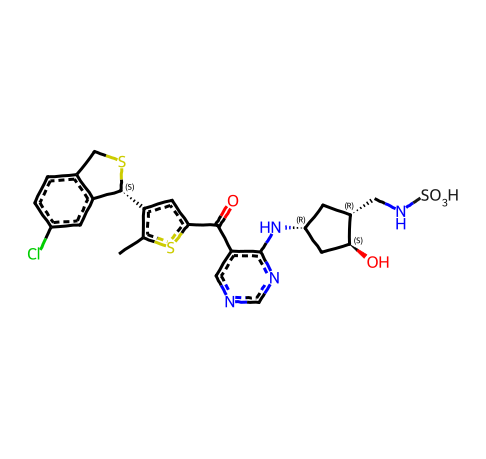 Cc1sc(C(=O)c2cncnc2N[C@@H]2C[C@H](CNS(=O)(=O)O)[C@@H](O)C2)cc1[C@H]1SCc2ccc(Cl)cc21